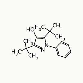 CC(C)(C)c1nn(-c2ccccc2)c(C(C)(C)C)c1O